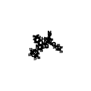 CC1(C)CC=C(c2nc(N3CC(C)(C)OC(C)(C)C3)ccc2NC(=O)c2nc(C#N)cn2COCC[Si](C)(C)C)CC1